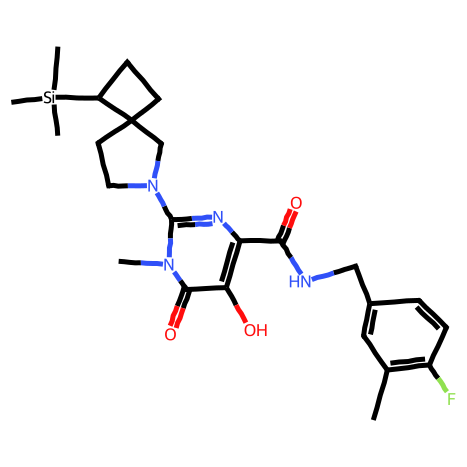 Cc1cc(CNC(=O)c2nc(N3CCC4(CCC4[Si](C)(C)C)C3)n(C)c(=O)c2O)ccc1F